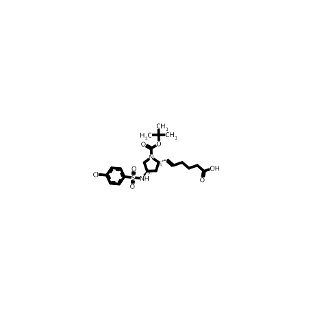 CC(C)(C)OC(=O)N1C[C@H](NS(=O)(=O)c2ccc(Cl)cc2)C[C@H]1C=CCCCC(=O)O